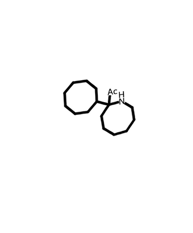 CC(=O)C1(C2CCCCCCC2)CCCCCCN1